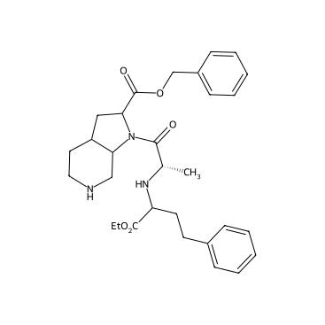 CCOC(=O)C(CCc1ccccc1)N[C@@H](C)C(=O)N1C(C(=O)OCc2ccccc2)CC2CCNCC21